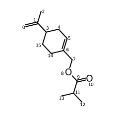 C=C(C)C1CC=C(COC(=O)C(C)C)CC1